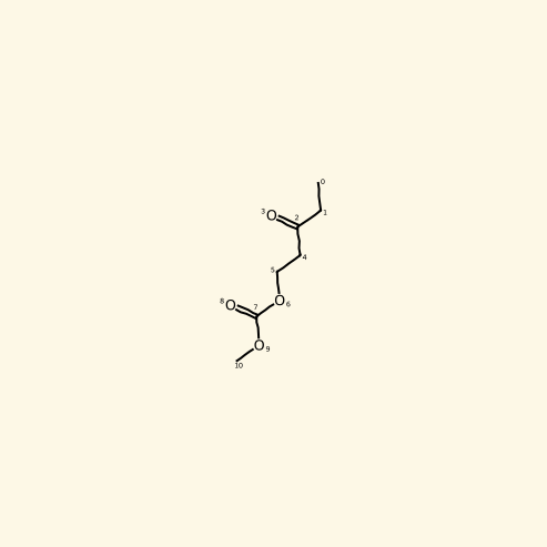 CCC(=O)CCOC(=O)OC